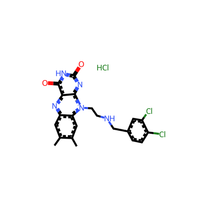 Cc1cc2nc3c(=O)[nH]c(=O)nc-3n(CCNCc3ccc(Cl)c(Cl)c3)c2cc1C.Cl